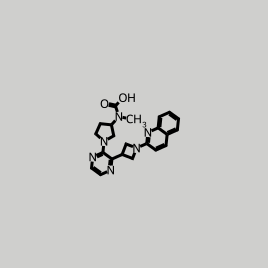 CN(C(=O)O)C1CCN(c2nccnc2C2CN(c3ccc4ccccc4n3)C2)C1